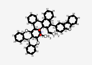 C=Cc1c(/C=C\C)c(-c2ccccc2-c2ccc3c4c2Oc2ccccc2B4c2ccccc2O3)c2ccccc2c1-c1ccc2oc3ccccc3c2c1